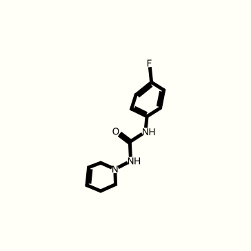 O=C(Nc1ccc(F)cc1)NN1CC=CCC1